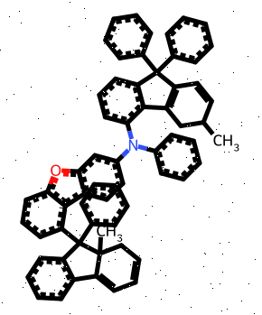 CC1C=CC2=C(C1)c1c(N(c3ccccc3)c3ccc4c(c3)oc3cccc(C5(c6ccccc6)c6ccccc6C6=CC=CCC65C)c34)cccc1C2(c1ccccc1)c1ccccc1